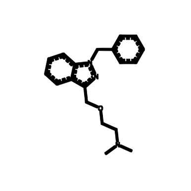 CN(C)CCOCc1nn(Cc2ccccc2)c2ccccc12